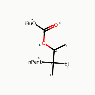 CCCCCC(C)(CC)C(C)OC(=O)OCC(C)C